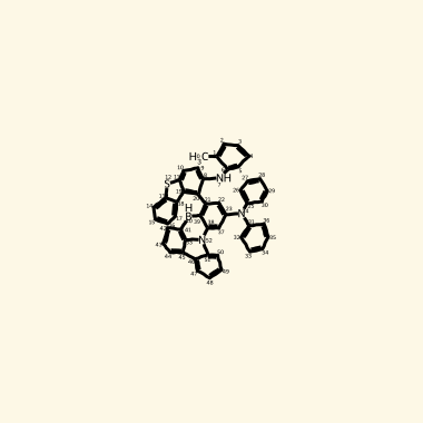 Cc1ccccc1Nc1ccc2sc3ccccc3c2c1-c1cc(N(c2ccccc2)c2ccccc2)cc2c1Bc1cccc3c4ccccc4n-2c13